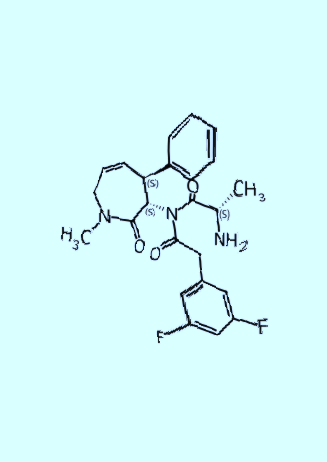 C[C@H](N)C(=O)N(C(=O)Cc1cc(F)cc(F)c1)[C@@H]1C(=O)N(C)CC=C[C@H]1c1ccccc1